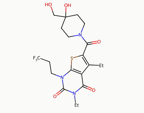 CCc1c(C(=O)N2CCC(O)(CO)CC2)sc2c1c(=O)n(CC)c(=O)n2CCC(F)(F)F